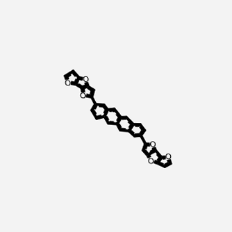 c1cc2oc3cc(-c4ccc5cc6cc7cc(-c8cc9oc%10ccoc%10c9o8)ccc7cc6cc5c4)oc3c2o1